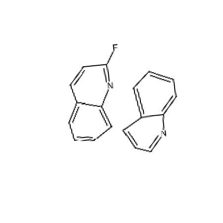 Fc1ccc2ccccc2n1.c1ccc2ncccc2c1